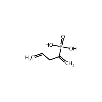 C=CCC(=C)P(=O)(O)O